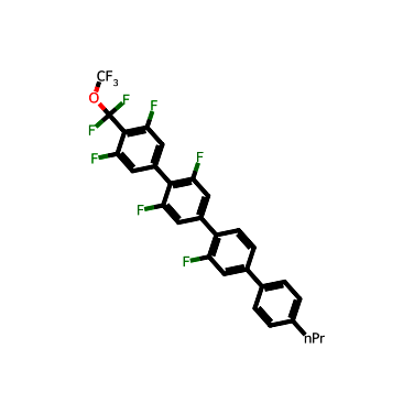 CCCc1ccc(-c2ccc(-c3cc(F)c(-c4cc(F)c(C(F)(F)OC(F)(F)F)c(F)c4)c(F)c3)c(F)c2)cc1